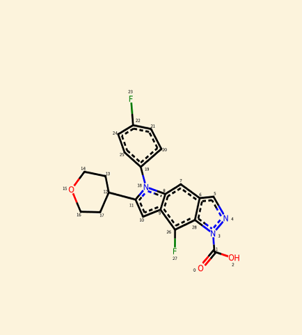 O=C(O)n1ncc2cc3c(cc(C4CCOCC4)n3-c3ccc(F)cc3)c(F)c21